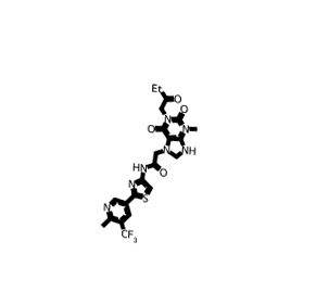 CCC(=O)Cn1c(=O)c2c(n(C)c1=O)NCN2CC(=O)Nc1csc(-c2cnc(C)c(C(F)(F)F)c2)n1